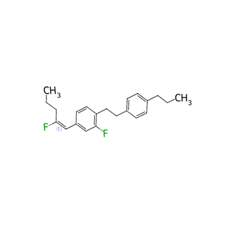 CCC/C(F)=C\c1ccc(CCc2ccc(CCC)cc2)c(F)c1